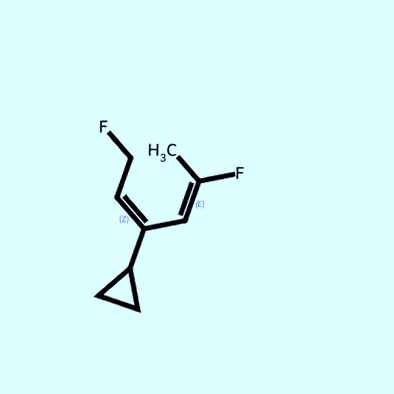 C/C(F)=C\C(=C/CF)C1CC1